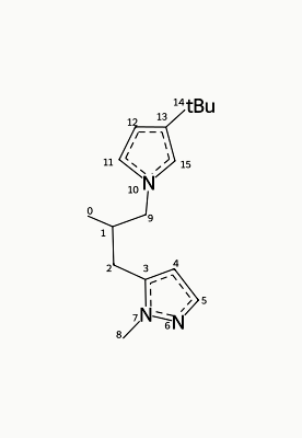 CC(Cc1ccnn1C)Cn1ccc(C(C)(C)C)c1